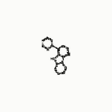 c1ccc(-c2ccnc3c2[nH]c2ccccc23)nc1